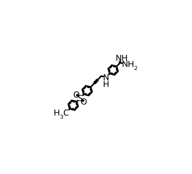 Cc1ccc(S(=O)(=O)c2ccc(C#CCNc3ccc(C(=N)N)cc3)cc2)cc1